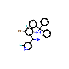 N=C(c1ccnc(F)c1)c1cc(Br)c(F)cc1NC(c1ccccc1)(c1ccccc1)c1ccccc1